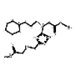 COC(=O)CNCc1noc([C@H](CCCC2CCCCC2)CC(=O)OC(C)(C)C)n1